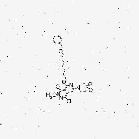 Cn1nc(Cl)c2cc(N3CCS(=O)(=O)CC3)nc(OCCCCCCCOCc3ccccc3)c2c1=O